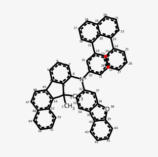 CC1(C)c2c(cccc2N(c2cccc(-c3cccc4cccc(-c5ccccc5)c34)c2)c2ccc3c(c2)oc2ccccc23)-c2ccc3ccccc3c21